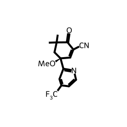 CO[C@]1(c2cc(C(F)(F)F)ccn2)C=C(C#N)C(=O)C(C)(C)C1